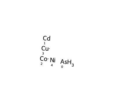 [AsH3].[Cd].[Co].[Cu].[Ni]